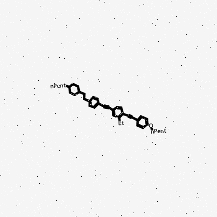 CCCCCOc1ccc(C#Cc2ccc(C#Cc3ccc(CCC4CCC(CCCCC)CC4)cc3)cc2CC)cc1